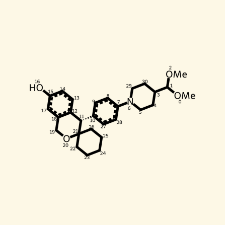 COC(OC)C1CCN(c2ccc([C@H]3c4ccc(O)cc4COC34CCCCC4)cc2)CC1